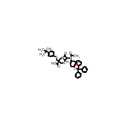 CC(=O)N(C1=CCC(OC(c2ccccc2)(c2ccccc2)c2ccccc2)=CC1)C1C(=O)N2CC(CSc3ccc(C(C)(C)C)cc3)(C(=O)O)CS[C@H]12